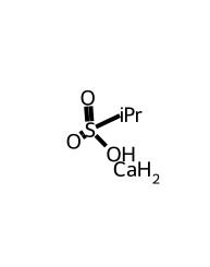 CC(C)S(=O)(=O)O.[CaH2]